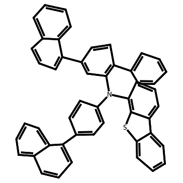 c1ccc(-c2ccc(-c3cccc4ccccc34)cc2N(c2ccc(-c3cccc4ccccc34)cc2)c2cccc3c2sc2ccccc23)cc1